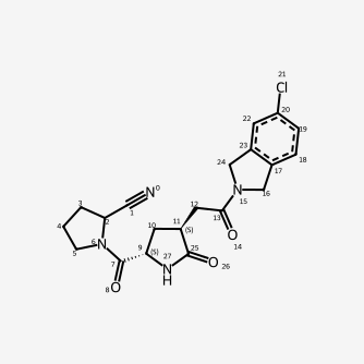 N#CC1CCCN1C(=O)[C@@H]1C[C@@H](CC(=O)N2Cc3ccc(Cl)cc3C2)C(=O)N1